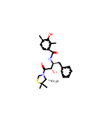 Cc1ccc(C(=O)N[C@@H](Cc2ccccc2)[C@H](O)C(=O)N2CSC(C)(C)[C@H]2C(=O)O)c(C)c1O